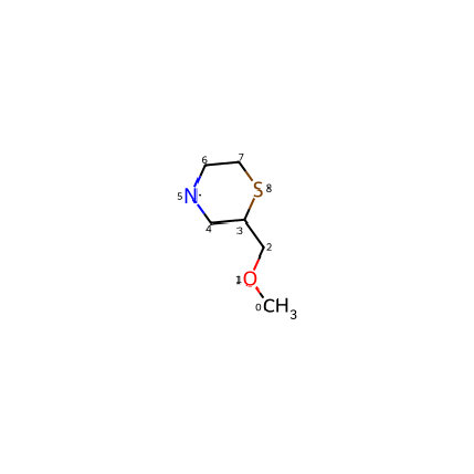 COCC1C[N]CCS1